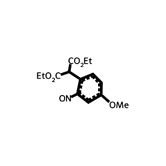 CCOC(=O)C(C(=O)OCC)c1ccc(OC)cc1N=O